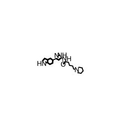 O=C(CCCCN1CCCCC1)Nc1cc(-c2ccc3[nH]ccc3c2)n[nH]1